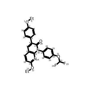 [CH2]COc1ccc(-c2cc3ccc(OCC)nc3n(-c3ccc(OC(F)F)cc3)c2=O)cc1